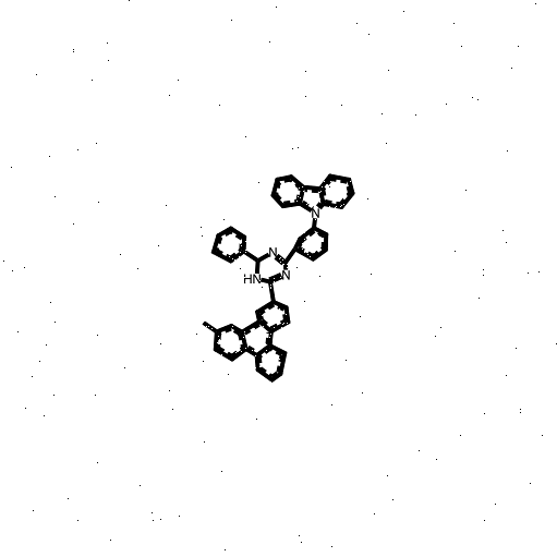 Cc1ccc2c3ccccc3c3ccc(C4=NC(c5cccc(-n6c7ccccc7c7ccccc76)c5)=NC(c5ccccc5)N4)cc3c2c1